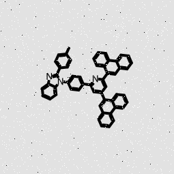 Cc1ccc(-c2nc3ccccc3n2-c2ccc(-c3cc(-c4cc5ccccc5c5ccccc45)cc(-c4cc5ccccc5c5ccccc45)n3)cc2)cc1